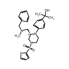 CN(Cc1ccccc1)C[C@@H]1CN(S(=O)(=O)c2cccs2)CCN1c1ccc(C(C)(C)O)cc1